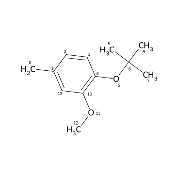 [CH2]c1ccc(OC(C)(C)C)c(OC)c1